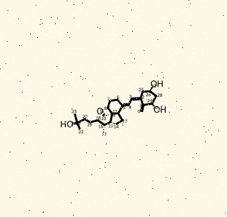 C=C1/C(=C\C=C2CCC[C@@]3(C=O)C2CC[C@@H]3[C@H](C)CCCC(C)(C)O)C[C@@H](O)C[C@H]1O